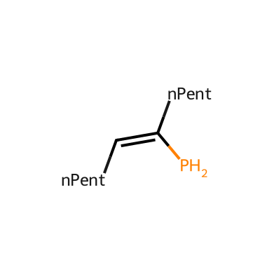 CCCCCC=C(P)CCCCC